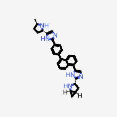 C[C@@H]1CC[C@@H](c2cnc(-c3ccc(-c4cccc5c(-c6cnc([C@@H]7C[C@H]8C[C@H]8N7)[nH]6)cccc45)cc3)[nH]2)N1